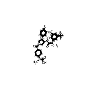 CN(C(=O)N(C)[C@@H]1CN(C(=O)[C@H]2CC[C@H](N(C)C(=O)O)CC2)C[C@H]1c1ccc(F)cc1)c1cc(Br)cc(C(F)(F)F)c1